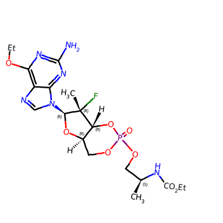 CCOC(=O)N[C@@H](C)COP1(=O)OC[C@H]2O[C@@H](n3cnc4c(OCC)nc(N)nc43)[C@](C)(F)[C@@H]2O1